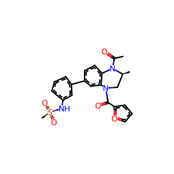 CC(=O)N1c2ccc(-c3cccc(NS(C)(=O)=O)c3)cc2N(C(=O)c2ccco2)C[C@@H]1C